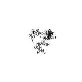 CCCCC(=O)N1CCC[C@H]1C(=O)N1CCC[C@H]1C(=O)N1CCC[C@H]1C(=O)N1CCC(OP(=O)(O)OP(=O)(O)OP(=O)(O)OP(=O)(O)OP(=O)(O)OP(=O)(O)OC[C@H]2O[C@@H](n3cnc4c(=O)[nH]c(N)nc43)C[C@H]2O)CC1